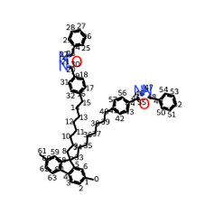 Cc1ccc2c(c1)C(CCCCCCCCc1ccc(-c3nnc(-c4ccccc4)o3)cc1)(CCCCCCCCc1ccc(-c3nnc(-c4ccccc4)o3)cc1)c1cc(C)ccc1-2